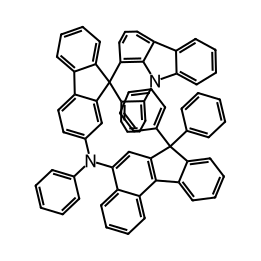 c1ccc(N(c2ccc3c(c2)C2(c4ccccc4-3)c3ccccc3-n3c4ccccc4c4cccc2c43)c2cc3c(c4ccccc24)-c2ccccc2C3(c2ccccc2)c2ccccc2)cc1